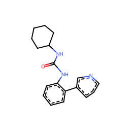 O=C(Nc1ccccc1-c1cccnc1)NC1CCCCC1